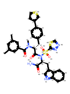 Cc1cc(C)cc(C(=O)N(C)[C@H](Cc2ccc(-c3ccsc3)cc2)C(=O)N([C@@H](Cc2c[nH]c3ccccc23)C(N)=O)S(=O)(=O)c2nncs2)c1